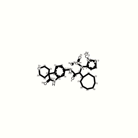 Cn1nccc1N(C(C(=O)Nc1ccc2c(c1)NC(=O)C21CCOCC1)C1CCCCCCC1)[SH](=O)=O